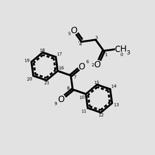 CC(=O)C[C]=O.O=C(C(=O)c1ccccc1)c1ccccc1